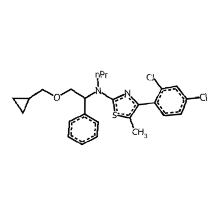 CCCN(c1nc(-c2ccc(Cl)cc2Cl)c(C)s1)C(COCC1CC1)c1ccccc1